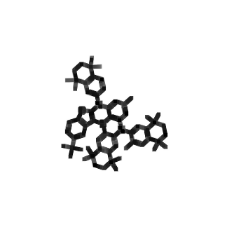 Cc1cc2c3c(c1)N(c1ccc4c(c1)C(C)(C)CCC4(C)C)c1oc4ccc(C(C)(C)C)cc4c1B3c1cc3c(cc1N2c1cc2c(cc1C)C(C)(C)CCC2(C)C)C(C)(C)CCC3(C)C